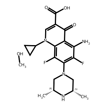 CO.C[C@@H]1CN(c2c(F)c(N)c3c(=O)c(C(=O)O)cn(C4CC4)c3c2F)C[C@H](C)N1